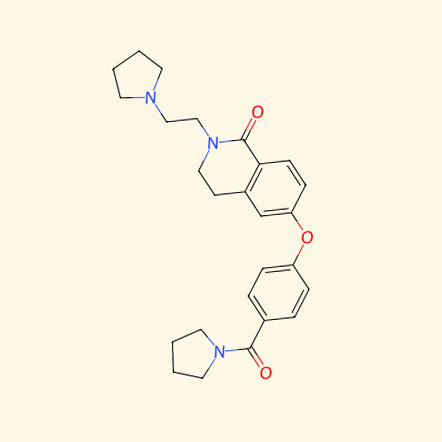 O=C(c1ccc(Oc2ccc3c(c2)CCN(CCN2CCCC2)C3=O)cc1)N1CCCC1